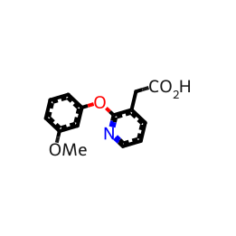 COc1cccc(Oc2ncccc2CC(=O)O)c1